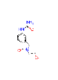 COCCN1Cc2cc(NC(N)=O)ccc2C1=O